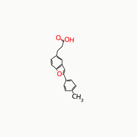 Cc1ccc(-c2cc3cc(CCC(=O)O)ccc3o2)cc1